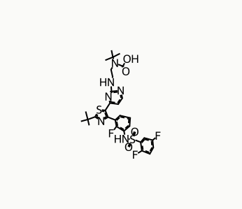 CC(C)(C)c1nc(-c2cccc(NS(=O)(=O)c3cc(F)ccc3F)c2F)c(-c2ccnc(NCCN(C(=O)O)C(C)(C)C)n2)s1